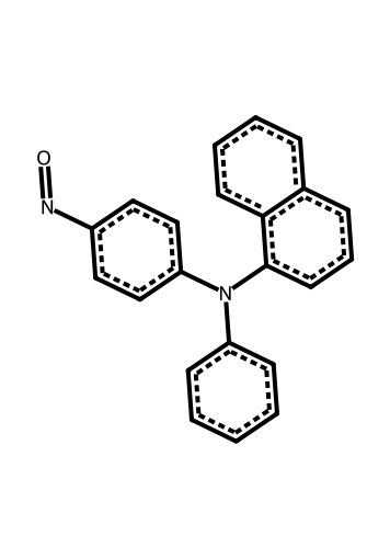 O=Nc1ccc(N(c2ccccc2)c2cccc3ccccc23)cc1